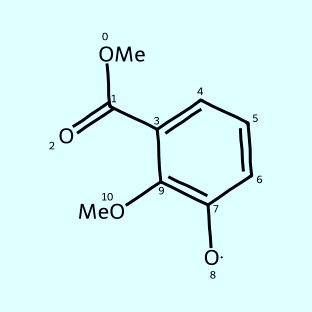 COC(=O)c1cccc([O])c1OC